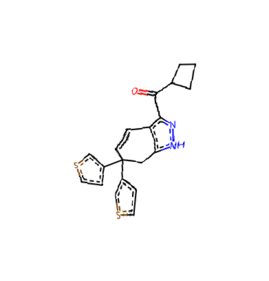 O=C(c1n[nH]c2c1C=CC(c1ccsc1)(c1ccsc1)C2)C1CCC1